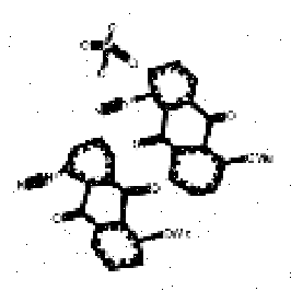 COc1cccc2c1C(=O)c1cccc([N+]#N)c1C2=O.COc1cccc2c1C(=O)c1cccc([N+]#N)c1C2=O.O=S(=O)([O-])[O-]